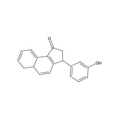 O=C1CC(c2cccc(O)c2)C2=C1C1=CC=CCC1C=C2